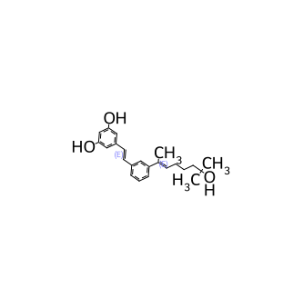 C/C(=C\CCCC(C)(C)O)c1cccc(/C=C/c2cc(O)cc(O)c2)c1